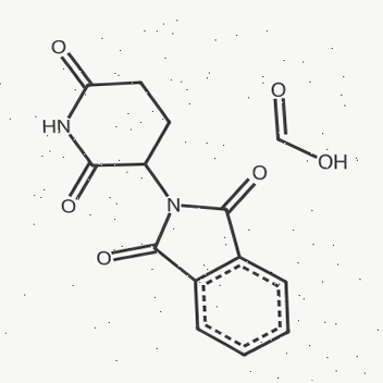 O=C1CCC(N2C(=O)c3ccccc3C2=O)C(=O)N1.O=CO